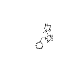 C[N+]1(c2nnnn2Cc2ccccc2)[C]=NN=N1